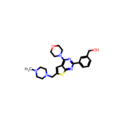 CN1CCN(Cc2cc3c(N4CCOCC4)nc(-c4cccc(CO)c4)nc3s2)CC1